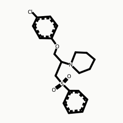 O=S(=O)(CC(COc1ccc(Cl)cc1)N1CCCCC1)c1ccccc1